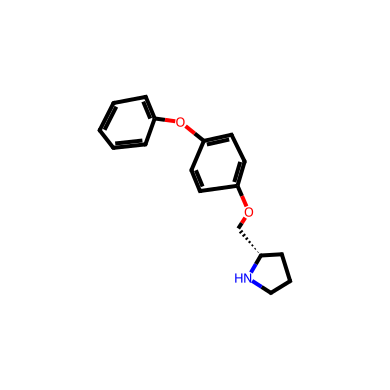 c1ccc(Oc2ccc(OC[C@@H]3CCCN3)cc2)cc1